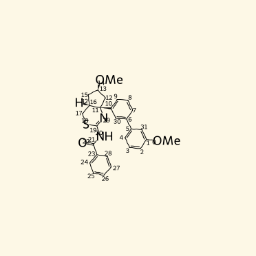 COc1cccc(-c2cccc([C@]34C[C@H](OC)C[C@H]3CSC(NC(=O)c3ccccc3)=N4)c2)c1